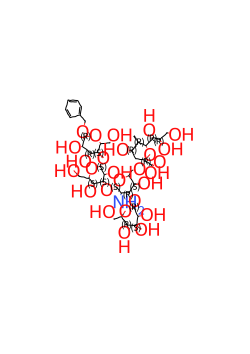 C[C@H]1C([C@H](O)[C@H](O)CO)O[C@@](OCC2O[C@@H](O[C@@H]3C(O)[C@H](O[C@@H]4C(CO)O[C@@H](OCc5ccccc5)C(O)[C@H]4O)OC(CO)[C@@H]3O)C(N)[C@@H](O[C@@H]3OC(CO)[C@H](O)[C@H](O)C3O)[C@@H]2O)(C(=O)O)C[C@H]1O